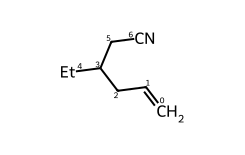 C=CCC(CC)CC#N